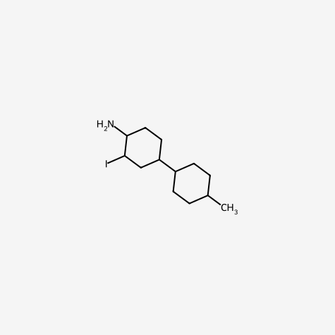 CC1CCC(C2CCC(N)C(I)C2)CC1